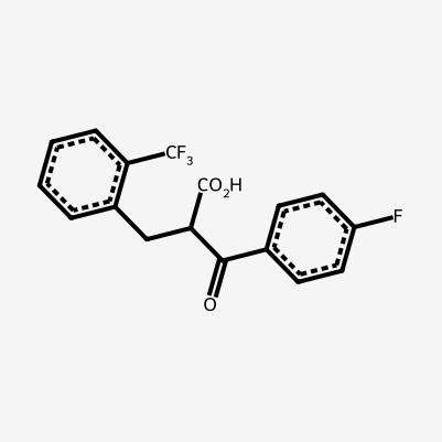 O=C(O)C(Cc1ccccc1C(F)(F)F)C(=O)c1ccc(F)cc1